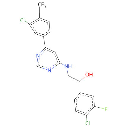 OC(CNc1cc(-c2ccc(C(F)(F)F)c(Cl)c2)ncn1)c1ccc(Cl)c(F)c1